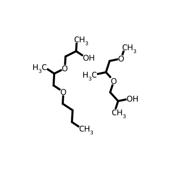 CCCCOCC(C)OCC(C)O.COCC(C)OCC(C)O